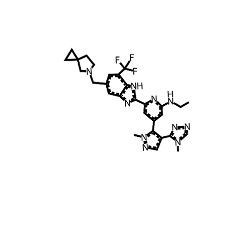 CCNc1cc(-c2c(-c3nncn3C)cnn2C)cc(-c2nc3cc(CN4CCC5(CC5)C4)cc(C(F)(F)F)c3[nH]2)n1